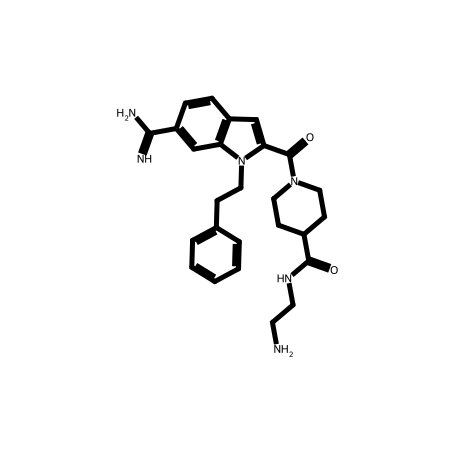 N=C(N)c1ccc2cc(C(=O)N3CCC(C(=O)NCCN)CC3)n(CCc3ccccc3)c2c1